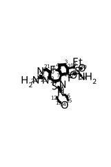 CCC(c1ccc(F)c(-c2nc(N3CCOCC3)sc2-c2ccnc(N)n2)c1F)S(N)(=O)=O